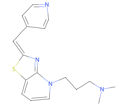 CN(C)CCCN1C=CC=c2sc(=Cc3ccncc3)nc21